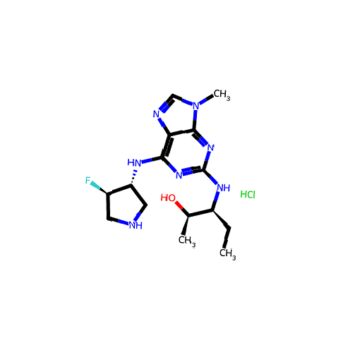 CC[C@H](Nc1nc(N[C@@H]2CNC[C@H]2F)c2ncn(C)c2n1)[C@@H](C)O.Cl